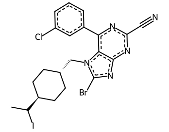 CC(I)[C@H]1CC[C@H](Cn2c(Br)nc3nc(C#N)nc(-c4cccc(Cl)c4)c32)CC1